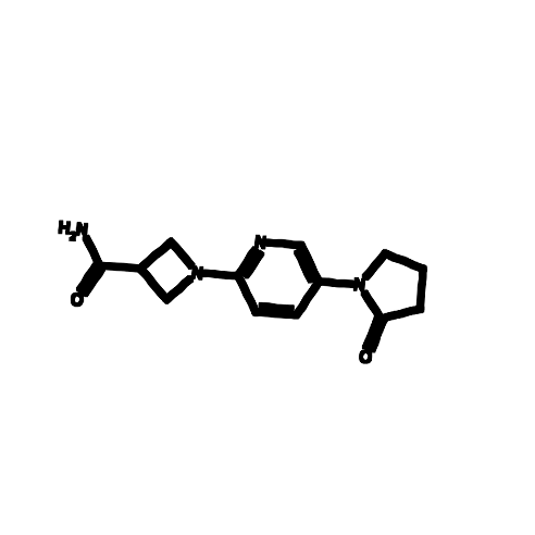 NC(=O)C1CN(c2ccc(N3CCCC3=O)cn2)C1